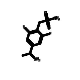 CC(N)c1cc(F)c(CS(N)(=O)=O)c(F)c1